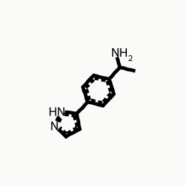 CC(N)c1ccc(-c2ccn[nH]2)cc1